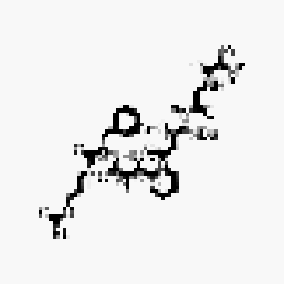 CCC(=O)OCCCNC(=O)[C@H](Cc1ccccc1)NC(=O)[C@H](C)[C@@H](OC)[C@@H]1CCCCN1C(=O)C[C@@H](OC)[C@H]([C@@H](C)CC)N(C)C(=O)CNC(=O)C(C(C)C)N(C)C